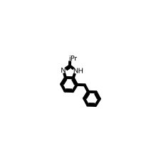 CC(C)c1nc2cccc(Cc3ccccc3)c2[nH]1